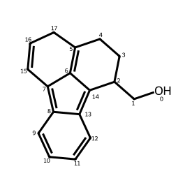 OCC1CCC2=C3C(=c4ccccc4=C31)C=CC2